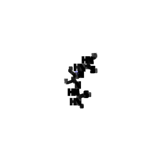 CNC(=S)NN=C(C)/C(C)=N/NC(=S)NC